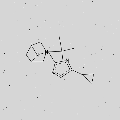 CC(C)(C)N1CC2CC(C1)N2Cc1nc(C2CC2)cs1